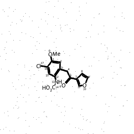 COc1cc(CC(=O)c2ccoc2)c(NC(=O)O)cc1Cl